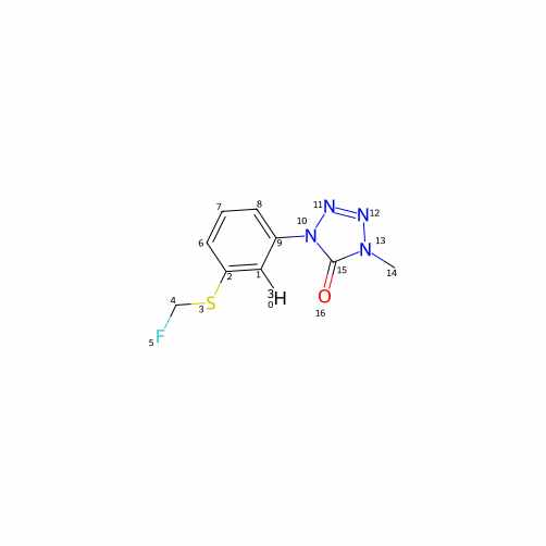 [3H]c1c(SCF)cccc1-n1nnn(C)c1=O